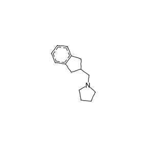 c1ccc2c(c1)CC(CN1CCCC1)C2